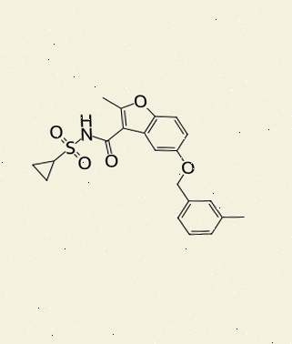 Cc1cccc(COc2ccc3oc(C)c(C(=O)NS(=O)(=O)C4CC4)c3c2)c1